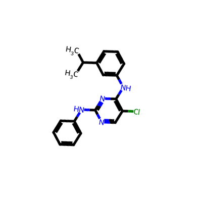 CC(C)c1cccc(Nc2nc(Nc3ccccc3)ncc2Cl)c1